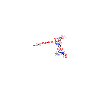 CCCCOCCOCCOCCOCCOCCOCCC(=O)N[C@H](C(=O)N[C@@H](CCCNC(N)=O)C(=O)Nc1ccc(C(O)C(=O)N[C@H]2CCc3c(C)c(F)cc4nc5c(c2c34)Cn2c-5cc3c(c2=O)COC(=O)[C@]3(O)CC)cc1)C(C)C